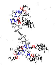 C=C(OC(C)(C)C)N1CCN(C(=O)[C@@H](NC(=O)OC)C(C)C)[C@H](c2nc(-c3ccc(C#Cc4ccc(-c5cnc([C@@H]6CCCN6C(=O)[C@@H](NC(=O)OC)C(C)C)n5COCC[Si](C)(C)C)cc4)cc3)cn2COCC[Si](C)(C)C)C1